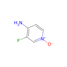 Nc1cc[n+]([O-])cc1F